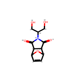 O=C1C2C3C=CC(O3)C2C(=O)N1C(CO)CO